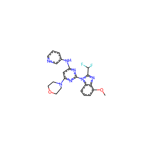 COc1cccc2c1nc(C(F)F)n2-c1nc(Nc2cccnc2)cc(N2CCOCC2)n1